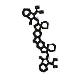 N#CC(C#N)=C1/C(=C/C2=Cc3cc4sc5cc6c(cc5c4cc3C23CCCCC3)C2(CCCCC2)C(/C=C2\C(=O)c3ccccc3C2=C(C#N)C#N)=C6)C(=O)c2ccccc21